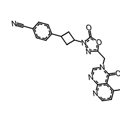 Cc1ccnc2ncn(Cc3nn(C4CC(c5ccc(C#N)cc5)C4)c(=O)o3)c(=O)c12